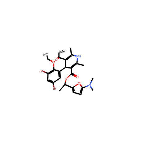 COC(=O)C1=C(C)NC(C)=C(C(=O)OC(C)c2ccc(N(C)C)o2)C1c1cc(Br)cc(Br)c1OCC#N